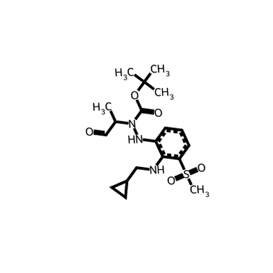 CC(C=O)N(Nc1cccc(S(C)(=O)=O)c1NCC1CC1)C(=O)OC(C)(C)C